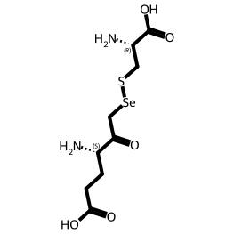 N[C@@H](CS[Se]CC(=O)[C@@H](N)CCC(=O)O)C(=O)O